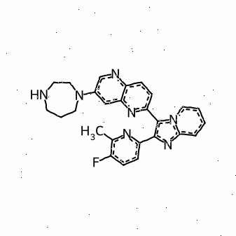 Cc1nc(-c2nc3ccccn3c2-c2ccc3ncc(N4CCCNCC4)cc3n2)ccc1F